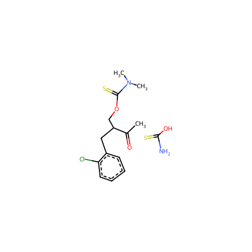 CC(=O)C(COC(=S)N(C)C)Cc1ccccc1Cl.NC(O)=S